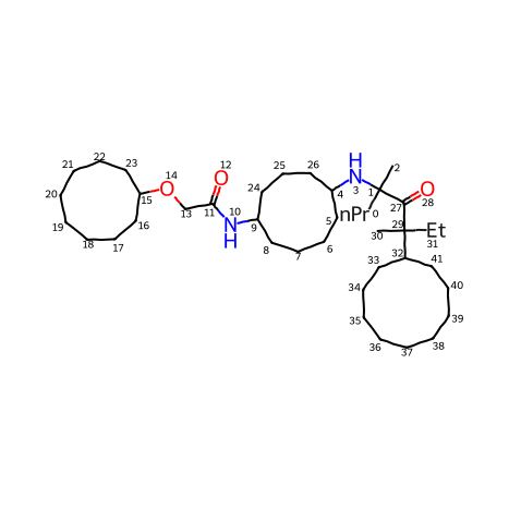 CCCC(C)(NC1CCCCC(NC(=O)COC2CCCCCCCC2)CCC1)C(=O)C(C)(CC)C1CCCCCCCCC1